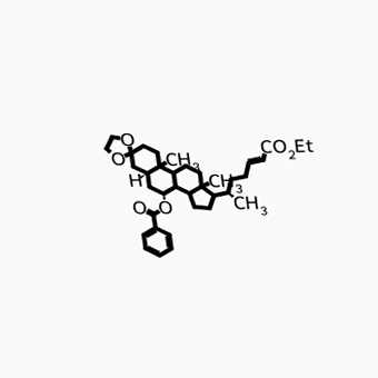 CCOC(=O)/C=C/CC[C@@H](C)C1CCC2C3C(CCC21C)C1(C)CCC2(C[C@@H]1C[C@H]3OC(=O)c1ccccc1)OCCO2